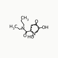 CCCN(CC)C(=O)c1cc(=O)c(O)cn1O